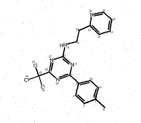 Cc1ccc(-c2nc(NCCc3ccccn3)nc(C(Cl)(Cl)Cl)n2)cc1